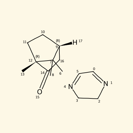 C1=NCCN=C1.CC1(C)[C@@H]2CC[C@@]1(C)C(=O)C2